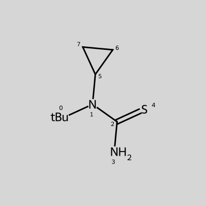 CC(C)(C)N(C(N)=S)C1CC1